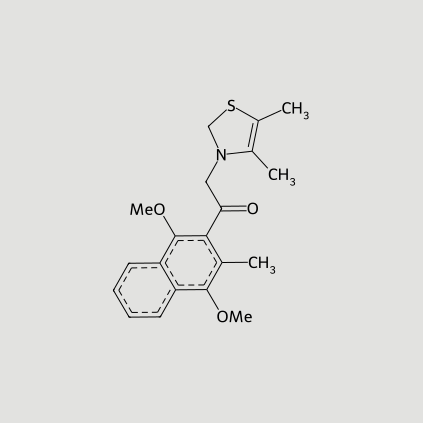 COc1c(C)c(C(=O)CN2CSC(C)=C2C)c(OC)c2ccccc12